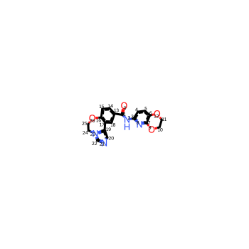 O=C(Nc1ccc2c(n1)OCCO2)c1ccc2c(c1)-c1cncn1CCO2